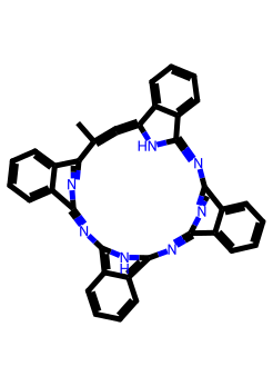 CC1=C=c2[nH]/c(c3ccccc23)=N\C2=NC(=N\c3[nH]c(c4ccccc34)/N=C3\N=C1c1ccccc13)/c1ccccc12